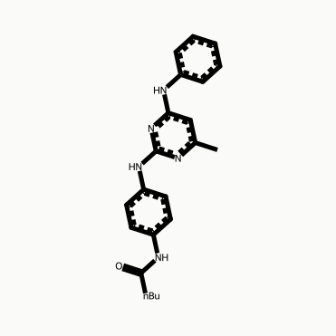 CCCCC(=O)Nc1ccc(Nc2nc(C)cc(Nc3ccccc3)n2)cc1